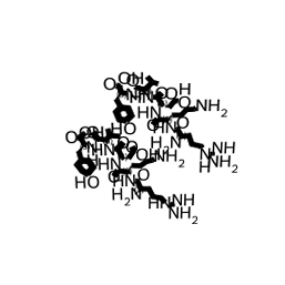 CC(C)[C@H](NC(=O)[C@H](CC(=O)O)NC(=O)[C@H](CCCCN)NC(=O)[C@@H](N)CCCNC(=N)N)C(=O)N[C@@H](Cc1ccc(O)cc1)C(=O)O.CC(C)[C@H](NC(=O)[C@H](CC(=O)O)NC(=O)[C@H](CCCCN)NC(=O)[C@@H](N)CCCNC(=N)N)C(=O)N[C@@H](Cc1ccc(O)cc1)C(=O)O